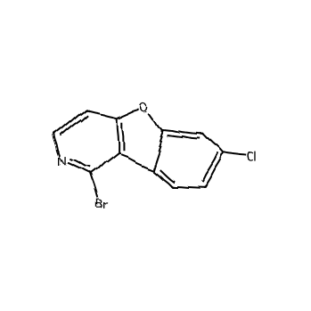 Clc1ccc2c(c1)oc1ccnc(Br)c12